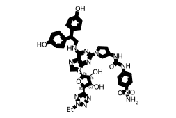 CCn1nnc([C@H]2O[C@@H](n3cnc4c(NCC(c5ccc(O)cc5)c5ccc(O)cc5)nc(N5CCC(NC(=O)Nc6ccc(S(N)(=O)=O)cc6)C5)nc43)[C@H](O)[C@@H]2O)n1